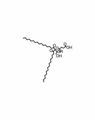 CCCCCCCCCCCCCCCC(=O)C(OC(=O)CCC(=O)O)(C(=O)CCCCCCCCCCCCCCC)C(O)CO